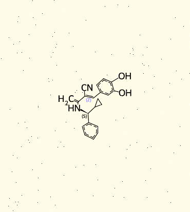 C=C(N[C@H](c1ccccc1)C1CC1)/C(C#N)=C/c1ccc(O)c(O)c1